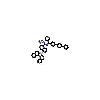 CN1c2ccccc2C(c2ccc(-c3ccc(-c4ccccc4)cc3)cc2)=NC1c1cccc2c(-n3c4ccc5ccccc5c4c4c5ccccc5ccc43)cccc12